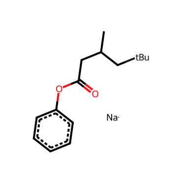 CC(CC(=O)Oc1ccccc1)CC(C)(C)C.[Na]